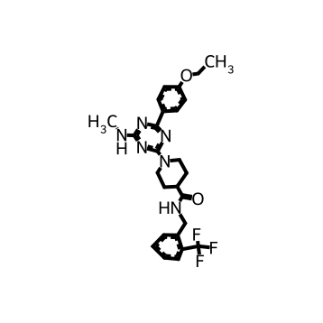 CCOc1ccc(-c2nc(NC)nc(N3CCC(C(=O)NCc4ccccc4C(F)(F)F)CC3)n2)cc1